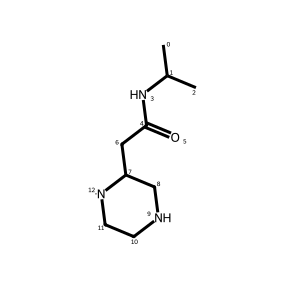 CC(C)NC(=O)CC1CNCC[N]1